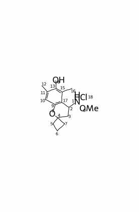 CONC1CC2(CCC2)Oc2cc(C)c(O)c(C)c21.Cl